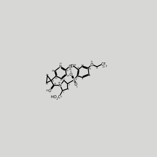 O=C(O)C1CC(S(=O)(=O)c2ccc(OCC(F)(F)F)cc2Cl)CN1C(=O)C1(c2ccc(Cl)nc2)CC1